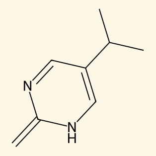 C=C1N=CC(C(C)C)=CN1